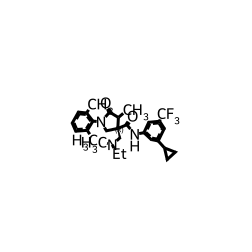 CCN(C)C[C@@]1(C(=O)Nc2cc(C3CC3)cc(C(F)(F)F)c2)CN(c2c(C)cccc2C)C(=O)C1C